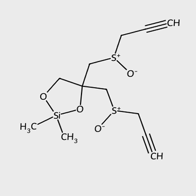 C#CC[S+]([O-])CC1(C[S+]([O-])CC#C)CO[Si](C)(C)O1